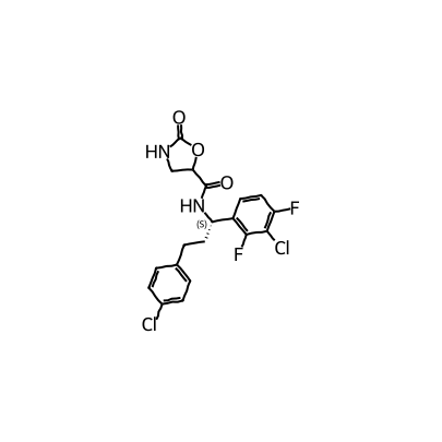 O=C1NCC(C(=O)N[C@@H](CCc2ccc(Cl)cc2)c2ccc(F)c(Cl)c2F)O1